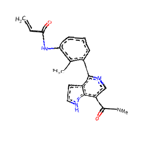 C=CC(=O)Nc1cccc(-c2ncc(C(=O)NC)c3[nH]ccc23)c1C